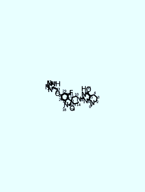 CN1CCCc2c1nc(N1CCC3(CC1)C(=O)N(C)c1cc(OCc4nnn[nH]4)cc(F)c13)[nH]c2=O